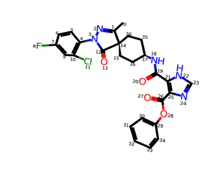 CC1=NN(c2ccc(F)cc2Cl)C(=O)[C@]12CC[C@H](NC(=O)c1[nH]cnc1C(=O)Oc1ccccc1)CC2